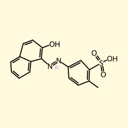 Cc1ccc(/N=N/c2c(O)ccc3ccccc23)cc1S(=O)(=O)O